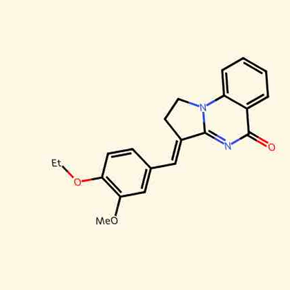 CCOc1ccc(C=C2CCn3c2nc(=O)c2ccccc23)cc1OC